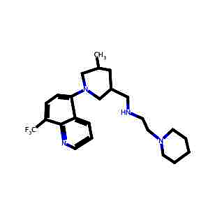 CC1CC(CNCCN2CCCCC2)CN(c2ccc(C(F)(F)F)c3ncccc23)C1